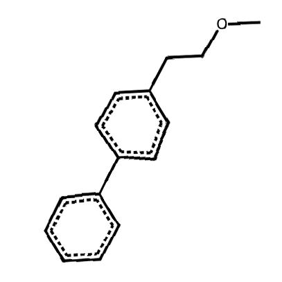 COCCc1ccc(-c2ccccc2)cc1